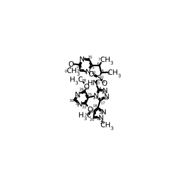 COc1cnc(C(C)C(C)S(=O)(=O)Nc2nnc(-c3ccn(C)n3)n2-c2c(OC)ncnc2OC)cn1